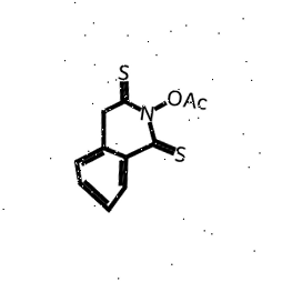 CC(=O)ON1C(=S)Cc2ccccc2C1=S